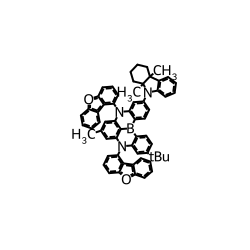 Cc1cc2c3c(c1)N(c1cccc4oc5ccccc5c14)c1cc(C(C)(C)C)ccc1B3c1ccc(N3c4ccccc4C4(C)CCCCC34C)cc1N2c1cccc2oc3ccccc3c12